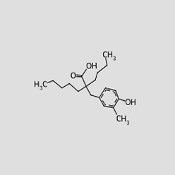 CCCCCC(CCCC)(Cc1ccc(O)c(C)c1)C(=O)O